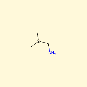 C[Si](C)CN